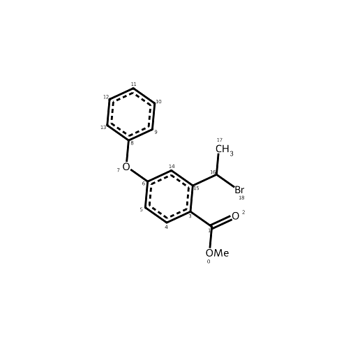 COC(=O)c1ccc(Oc2ccccc2)cc1C(C)Br